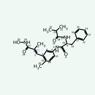 C/C(=C\c1cc(NC(=O)[C@H](Cc2ccccc2)NC(=O)C(C)C)ccc1C)C(=O)NO